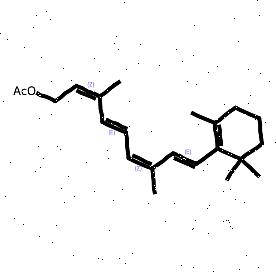 CC(=O)OC\C=C(C)/C=C/C=C(C)\C=C\C1=C(C)CCCC1(C)C